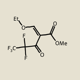 CCO/C=C(/C(=O)OC)C(=O)C(F)(F)C(F)(F)F